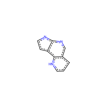 c1c[nH]c2c(c1)cnc1nccc12